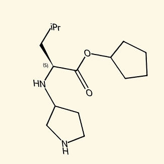 CC(C)C[C@H](NC1CCNC1)C(=O)OC1CCCC1